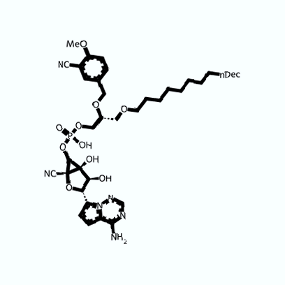 CCCCCCCCCCCCCCCCCCOC[C@H](COP(=O)(O)OC1[C@@]2(C#N)O[C@@H](c3ccc4c(N)ncnn34)[C@H](O)[C@@]12O)OCc1ccc(OC)c(C#N)c1